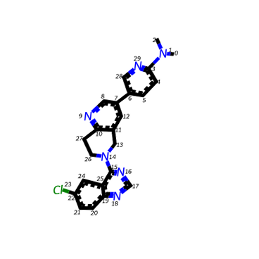 CN(C)c1ccc(-c2cnc3c(c2)CN(c2ncnc4ccc(Cl)cc24)CC3)cn1